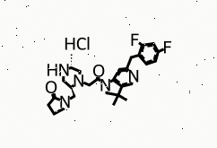 C[C@@H]1CN(CC(=O)N2CC(C)(C)c3cnc(Cc4ccc(F)cc4F)cc32)[C@@H](CN2CCCC2=O)CN1.Cl